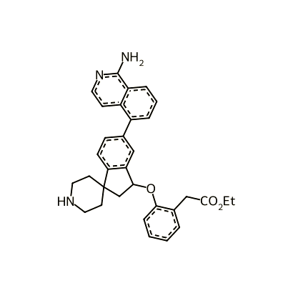 CCOC(=O)Cc1ccccc1OC1CC2(CCNCC2)c2ccc(-c3cccc4c(N)nccc34)cc21